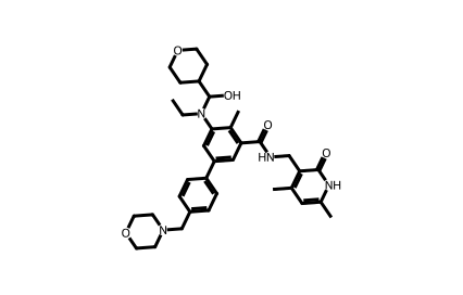 CCN(c1cc(-c2ccc(CN3CCOCC3)cc2)cc(C(=O)NCc2c(C)cc(C)[nH]c2=O)c1C)C(O)C1CCOCC1